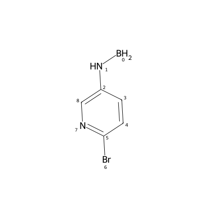 BNc1ccc(Br)nc1